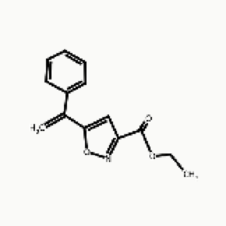 C=C(c1ccccc1)c1cc(C(=O)OCC)no1